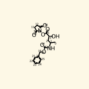 CC(C[C@H](O)C(=O)ON1C(=O)CCC1=O)NC(=O)OCc1ccccc1